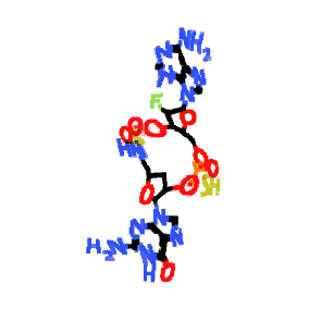 Nc1nc2c(ncn2C2OC3CNS(=O)(=O)OC4C(COP(=O)(S)OC2C3)OC(n2cnc3c(N)ncnc32)C4F)c(=O)[nH]1